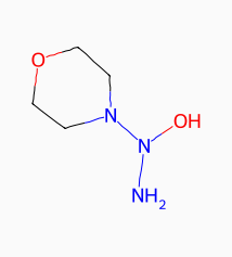 NN(O)N1CCOCC1